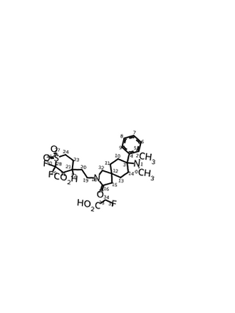 CN(C)C1(c2ccccc2)CCC2(CC1)CC(=O)N(CCC1(C(=O)O)CCS(=O)(=O)C(F)(F)C1)C2.O=C(O)CF